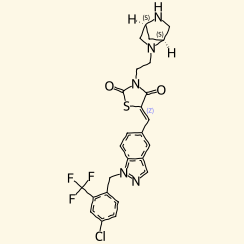 O=C1S/C(=C\c2ccc3c(cnn3Cc3ccc(Cl)cc3C(F)(F)F)c2)C(=O)N1CCN1C[C@@H]2C[C@H]1CN2